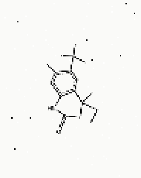 CCC1(C)CC(=O)Nc2cc(F)c(C(C)(C)C)cc21